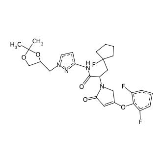 CC1(C)OCC(Cn2ccc(NC(=O)C(CC3(F)CCCC3)N3CC(Oc4c(F)cccc4F)=CC3=O)n2)O1